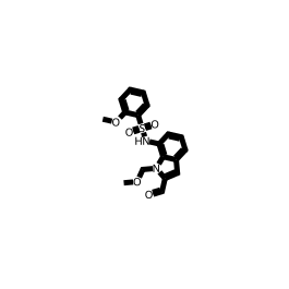 COCn1c(C=O)cc2cccc(NS(=O)(=O)c3ccccc3OC)c21